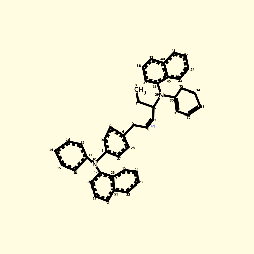 CCC(/C=C\Cc1ccc(N(c2ccccc2)c2cccc3ccccc23)cc1)N(C1=CC=CCC1)c1cccc2ccccc12